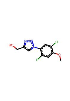 COc1cc(F)c(-n2cc(CO)nn2)cc1Cl